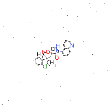 CC(C)(CC(O)(C(=O)Nc1cccc2ncccc12)C(F)(F)F)c1ccccc1Cl